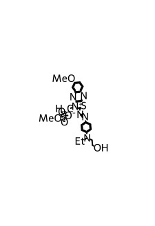 CCN(CCO)c1ccc(/N=N/c2sc3nc4ccc(OC)cc4nc3[n+]2C)cc1.COS(=O)(=O)[O-]